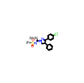 CNC(=NS(=O)(=O)C(C)C)N1CC(c2ccccc2)C(c2ccc(Cl)cc2)=N1